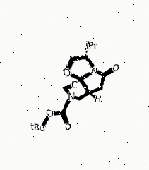 CC(C)[C@H]1CO[C@]23CCN(C(=O)OC(C)(C)C)C[C@H]2CC(=O)N13